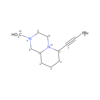 CC(C)(C)C#CC1CCCC2CN(C(=O)O)CCN12